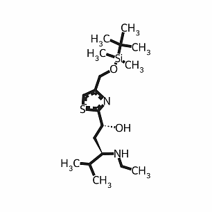 CCN[C@H](C[C@@H](O)c1nc(CO[Si](C)(C)C(C)(C)C)cs1)C(C)C